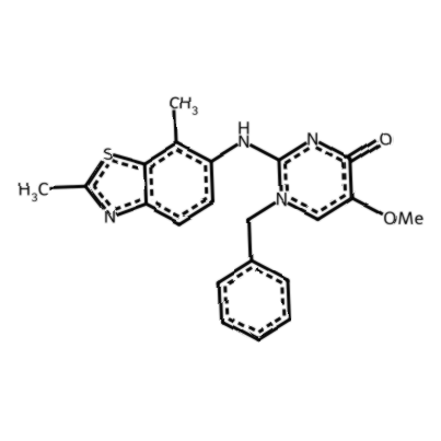 COc1cn(Cc2ccccc2)c(Nc2ccc3nc(C)sc3c2C)nc1=O